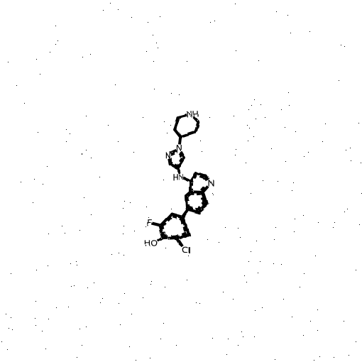 Oc1c(F)cc(-c2ccc3nc[c]c(Nc4cnn(C5CCNCC5)c4)c3c2)cc1Cl